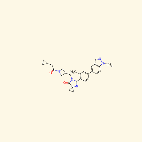 Cc1cc(-c2ccc3c(cnn3C)c2)ccc1C1=NC2(CC2)C(=O)N1CC1CN(C(=O)CC2CC2)C1